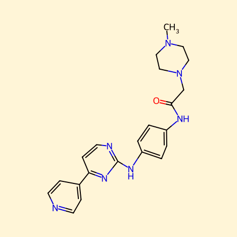 CN1CCN(CC(=O)Nc2ccc(Nc3nccc(-c4ccncc4)n3)cc2)CC1